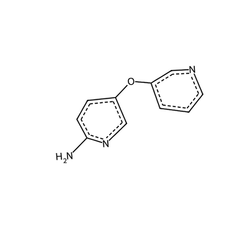 Nc1ccc(Oc2cccnc2)cn1